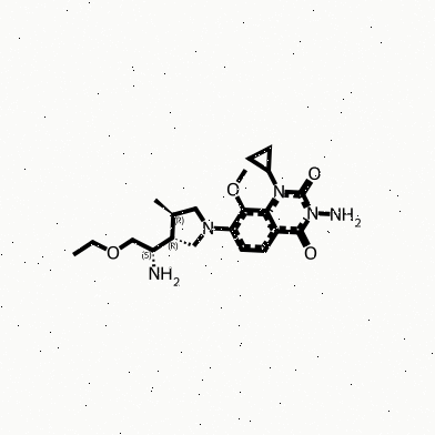 CCOC[C@@H](N)[C@H]1CN(c2ccc3c(=O)n(N)c(=O)n(C4CC4)c3c2OC)C[C@@H]1C